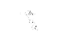 Cc1c(Br)cccc1OC1CCC(CCCC(C)[C@H]2CNCCN2)CC1